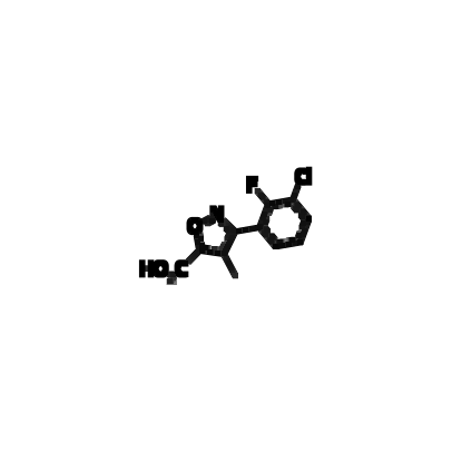 Cc1c(-c2cccc(Cl)c2F)noc1C(=O)O